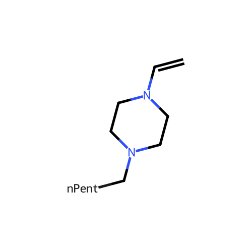 C=CN1CCN(CCCCCC)CC1